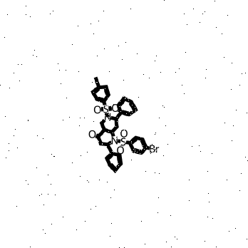 Cc1ccc(S(=O)(=O)N2CC3C(=O)CC(c4ccccc4)N(S(=O)(=O)c4ccc(Br)cc4)C3CC2c2ccccc2)cc1